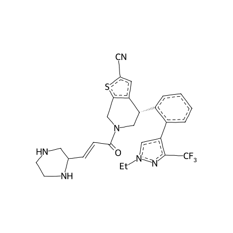 CCn1cc(-c2ccccc2[C@@H]2CN(C(=O)/C=C/C3CNCCN3)Cc3sc(C#N)cc32)c(C(F)(F)F)n1